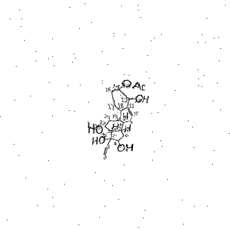 C#CC1(O)C(O)C[C@H]2[C@@H]3CC=C4C(O)C(OC(C)=O)CC[C@]4(C)[C@@H]3CC[C@@]21CO